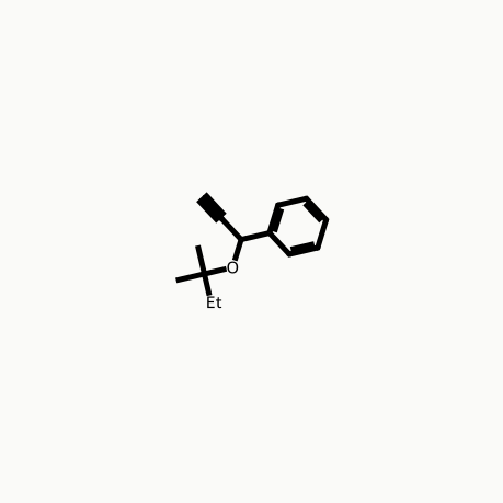 C#CC(OC(C)(C)CC)c1ccccc1